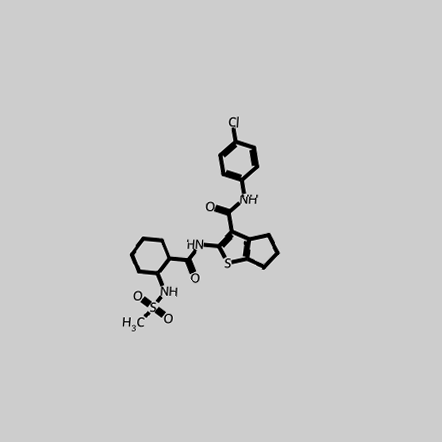 CS(=O)(=O)NC1CCCCC1C(=O)Nc1sc2c(c1C(=O)Nc1ccc(Cl)cc1)CCC2